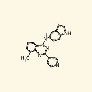 Cc1cccc2c(Nc3ccc4[nH]ccc4c3)nc(-c3ccncc3)nc12